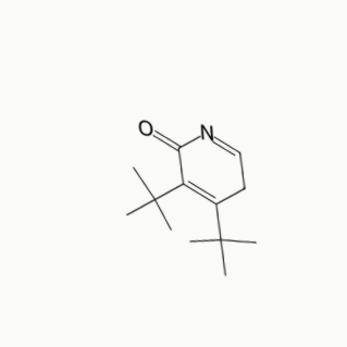 CC(C)(C)C1=C(C(C)(C)C)C(=O)N=CC1